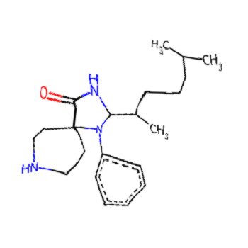 CC(C)CCC(C)C1NC(=O)C2(CCNCC2)N1c1ccccc1